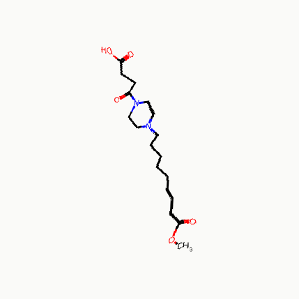 COC(=O)CCCCCCCCN1CCN(C(=O)CCC(=O)O)CC1